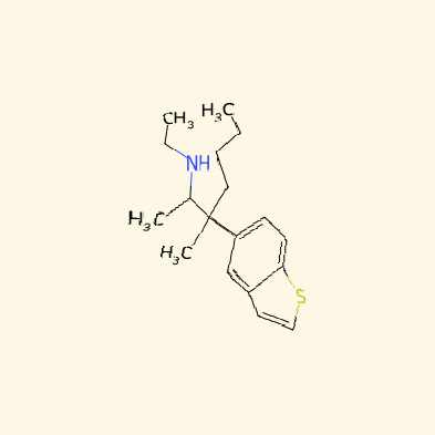 CCCCC(C)(c1ccc2sccc2c1)C(C)NCC